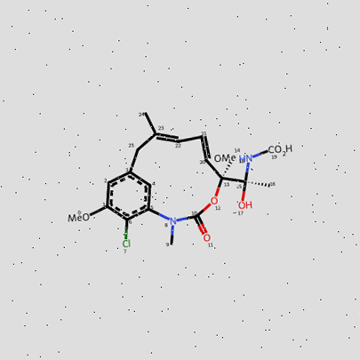 COc1cc2cc(c1Cl)N(C)C(=O)O[C@](OC)([C@](C)(O)NC(=O)O)/C=C/C=C(\C)C2